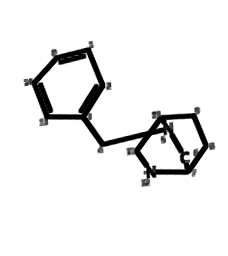 c1ccc(CN2CC3CCC2C[N]3)cc1